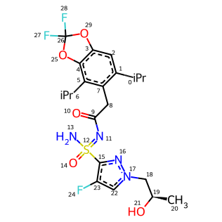 CC(C)c1cc2c(c(C(C)C)c1CC(=O)N=S(N)(=O)c1nn(C[C@@H](C)O)cc1F)OC(F)(F)O2